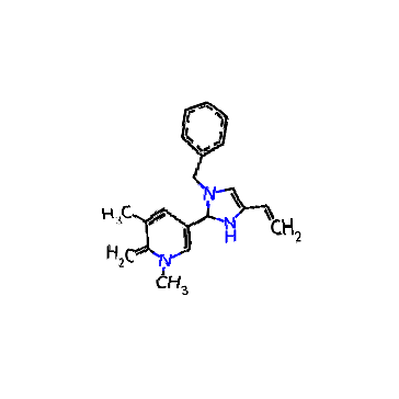 C=CC1=CN(Cc2ccccc2)C(C2=CN(C)C(=C)C(C)=C2)N1